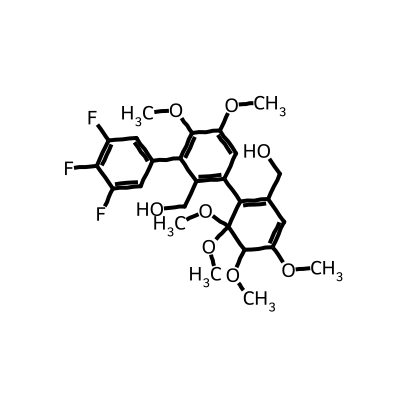 COC1=CC(CO)=C(c2cc(OC)c(OC)c(-c3cc(F)c(F)c(F)c3)c2CO)C(OC)(OC)C1OC